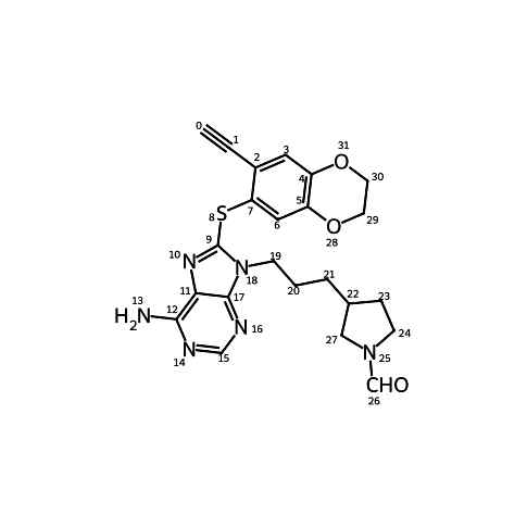 C#Cc1cc2c(cc1Sc1nc3c(N)ncnc3n1CCCC1CCN(C=O)C1)OCCO2